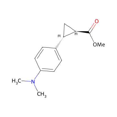 COC(=O)[C@@H]1C[C@H]1c1ccc(N(C)C)cc1